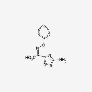 Nc1nc(C(=NOc2ccccc2)C(=O)O)ns1